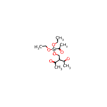 CCO[Si](OCC)(OCC(C(C)=O)C(C)=O)C(C)=O